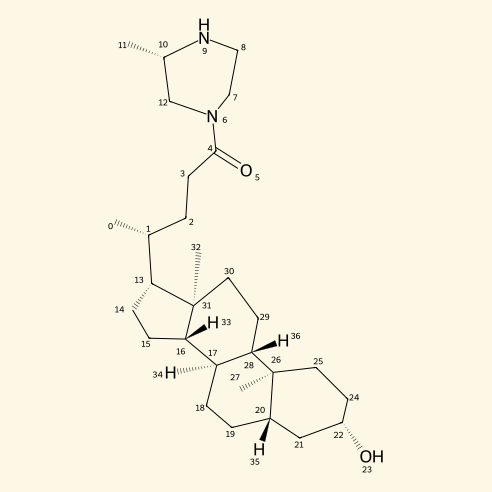 C[C@H](CCC(=O)N1CCN[C@@H](C)C1)[C@H]1CC[C@H]2[C@@H]3CC[C@H]4C[C@@H](O)CC[C@]4(C)[C@H]3CC[C@]12C